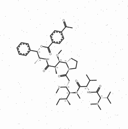 CC[C@H](C)[C@@H]([C@@H](CC(=O)N1CCC[C@H]1[C@H](OC)[C@@H](C)C(=O)N[C@H](C)[C@@H](OC(=O)c1ccc(C(C)=O)cc1)c1ccccc1)OC)N(C)C(=O)[C@@H](NC(=O)[C@H](C(C)C)N(C)C)C(C)C